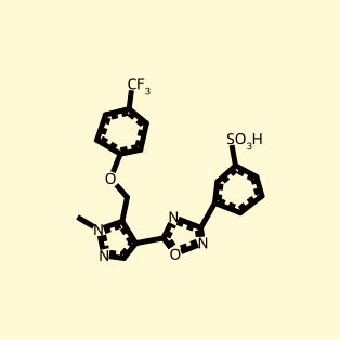 Cn1ncc(-c2nc(-c3cccc(S(=O)(=O)O)c3)no2)c1COc1ccc(C(F)(F)F)cc1